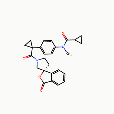 CN(C(=O)C1CC1)c1ccc(C2(C(=O)N3CC[C@@]4(C3)OC(=O)c3ccccc34)CC2)cc1